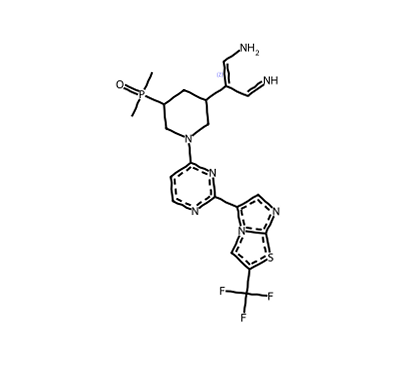 CP(C)(=O)C1CC(/C(C=N)=C/N)CN(c2ccnc(-c3cnc4sc(C(F)(F)F)cn34)n2)C1